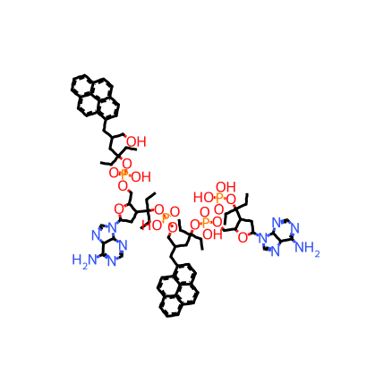 CCC(CC)(CC(CO)Cc1ccc2ccc3cccc4ccc1c2c34)OP(=O)(O)OCC1OC(N2C=NC3C(N)=NC=NC32)CC1C(CC)(CC)OP(=O)(O)OCC(Cc1ccc2ccc3cccc4ccc1c2c34)CC(CC)(CC)OP(=O)(O)OCC1OC(N2C=NC3C(N)=NC=NC32)CC1C(CC)(CC)OP(=O)(O)O